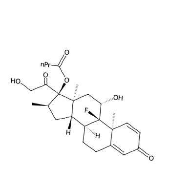 CCCC(=O)O[C@]1(C(=O)CO)[C@H](C)C[C@H]2[C@@H]3CCC4=CC(=O)C=C[C@]4(C)[C@@]3(F)[C@@H](O)C[C@@]21C